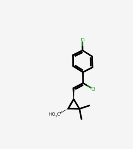 CC1(C)[C@H](/C=C(\Cl)c2ccc(Cl)cc2)[C@H]1C(=O)O